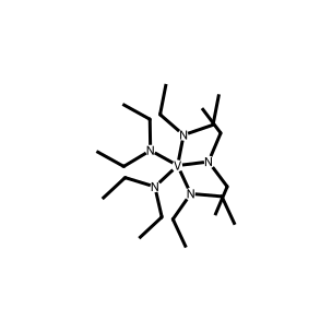 CC[N](CC)[V]([N](CC)CC)([N](CC)CC)([N](CC)CC)[N](CC)CC